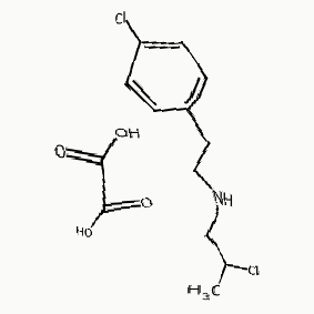 CC(Cl)CNCCc1ccc(Cl)cc1.O=C(O)C(=O)O